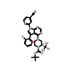 [2H]C([2H])([2H])[C@@H]1CN(c2ncnc3c2c(-c2ccccc2F)cn3-c2cc(C#N)ccn2)[C@@H](C)CN1C(=O)OC(C)(C)C